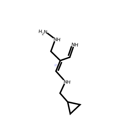 N=C/C(=C\NCC1CC1)CNN